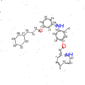 Cc1cc(OC/C2=C/C=C\C=C\CN2)ccc1Nc1cccc(OCCCC2CCCCC2)c1